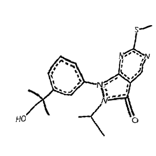 CSc1ncc2c(=O)n(C(C)C)n(-c3cccc(C(C)(C)O)c3)c2n1